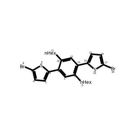 CCCCCCc1cc(-c2ccc(Br)s2)c(CCCCCC)cc1-c1ccc(Br)s1